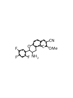 COc1cc2c3c(ccc2cc1C#N)OC(c1cc(F)c(F)cc1F)C(N)C3